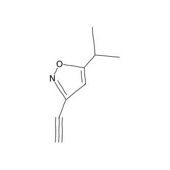 C#Cc1cc(C(C)C)on1